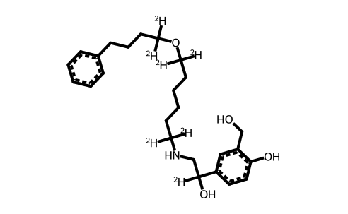 [2H]C([2H])(CCCCC([2H])([2H])OC([2H])([2H])CCCc1ccccc1)NCC([2H])(O)c1ccc(O)c(CO)c1